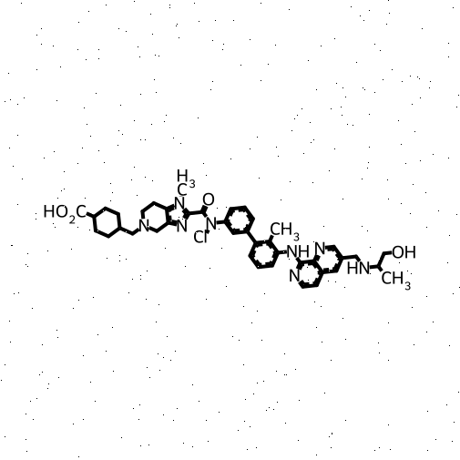 Cc1c(Nc2nccc3cc(CNC(C)CO)cnc23)cccc1-c1cccc(N(Cl)C(=O)c2nc3c(n2C)CCN(CC2CCC(C(=O)O)CC2)C3)c1